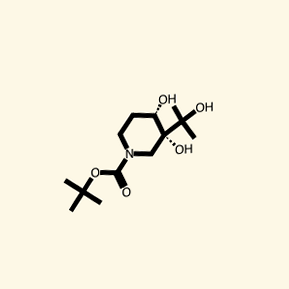 CC(C)(C)OC(=O)N1CC[C@H](O)[C@@](O)(C(C)(C)O)C1